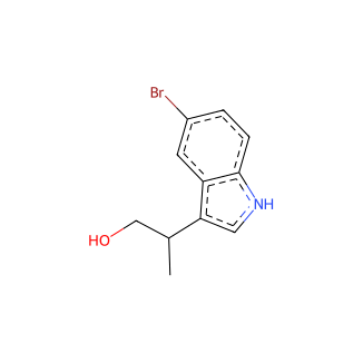 CC(CO)c1c[nH]c2ccc(Br)cc12